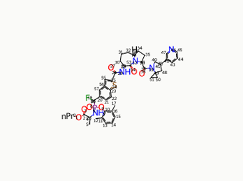 CCCOC(=O)[C@H](C)NP(=O)(Oc1c(C)cccc1C)[C@@H](F)c1ccc2sc(C(=O)N[C@H]3CCC[C@H]4CC[C@@H](C(=O)N5C[C@@H](c6cccnc6)CC56CC6)N4C3=O)cc2c1